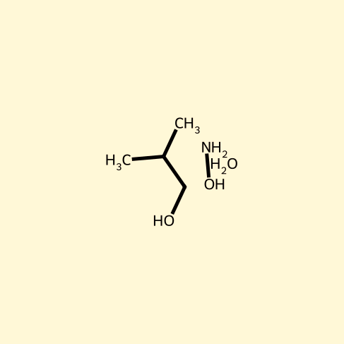 CC(C)CO.NO.O